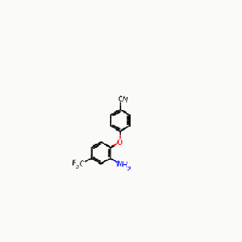 N#Cc1ccc(Oc2ccc(C(F)(F)F)cc2N)cc1